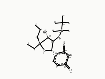 CCC[C@]1(CC)O[C@@H](n2ccc(=O)[nH]c2=O)C(O[Si](C)(C)C(C)(C)C)[C@H]1O